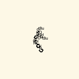 CC(C)(C)OC(=O)N=C(NC(=O)OC(C)(C)C)N1CC[C@@H](c2nc(-c3ccc(N4CCCCC4)nc3)no2)C1